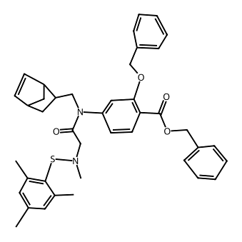 Cc1cc(C)c(SN(C)CC(=O)N(CC2CC3C=CC2C3)c2ccc(C(=O)OCc3ccccc3)c(OCc3ccccc3)c2)c(C)c1